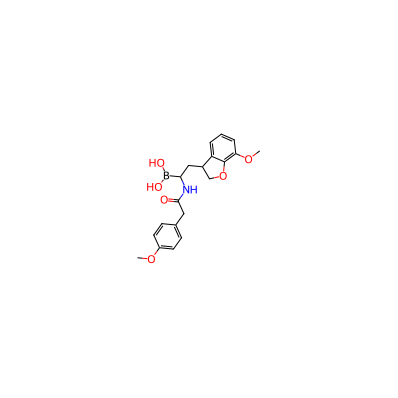 COc1ccc(CC(=O)NC(CC2COc3c(OC)cccc32)B(O)O)cc1